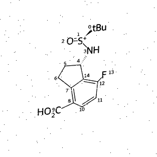 CC(C)(C)[S@+]([O-])N[C@H]1CCc2c(C(=O)O)ccc(F)c21